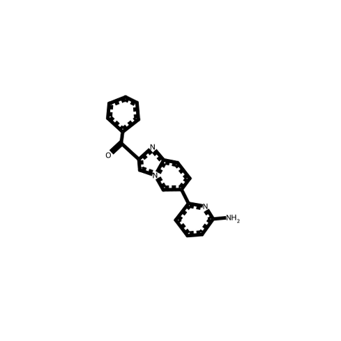 Nc1cccc(-c2ccc3nc(C(=O)c4ccccc4)cn3c2)n1